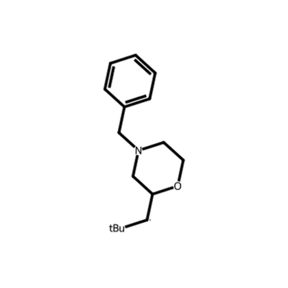 CC(C)(C)[CH]C1CN(Cc2ccccc2)CCO1